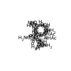 CC(=O)NCCCC[C@H](NC(=O)C(C)(CCCCN)NC(=O)[C@H](Cc1ccc2ccccc2c1)NC(=O)[C@H](Cc1ccc(OCCN)cc1)NC(=O)[C@H]1NC(=O)[C@H](CCCCNC(=O)CN)NC(=O)[C@H](Cc2c[nH]c3c(C)cccc23)NC(=O)[C@H]([C@@H](C)O)NC(=O)[C@H](CC(N)=O)NC(=O)[C@@H](NC(C)=O)C(C)(C)SSC1(C)C)C(=O)N[C@@H](CC(N)=O)C(=O)N[C@H](CC(C)C)C(N)=O